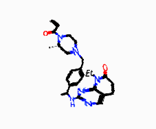 C=CC(=O)N1CCN(Cc2ccc(C(C)Nc3ncc4ccc(=O)n(CC)c4n3)cc2)C[C@@H]1C